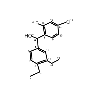 CCc1ccc(C(O)c2ccc(Cl)cc2F)cc1CC